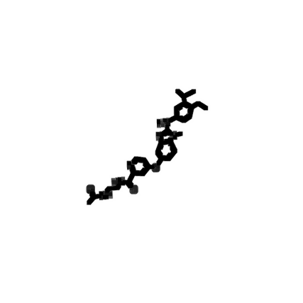 CCc1ccc(Nc2nc3cc(Oc4ccnc(C(=O)NCCNC(C)=O)c4)ccc3n2C)cc1C(C)C